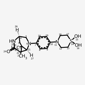 CC1(C)C[C@@H]2CN(c3ccc(N4CCS(O)(O)CC4)cc3)[C@H]1CC(=O)N2